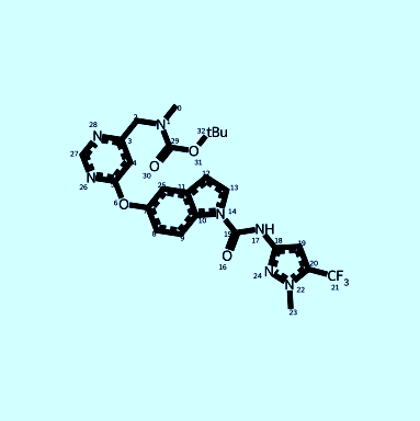 CN(Cc1cc(Oc2ccc3c(ccn3C(=O)Nc3cc(C(F)(F)F)n(C)n3)c2)ncn1)C(=O)OC(C)(C)C